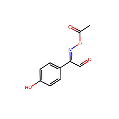 CC(=O)ON=C([C]=O)c1ccc(O)cc1